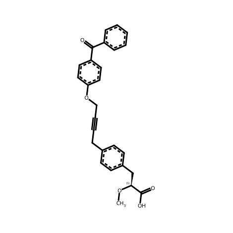 CO[C@@H](Cc1ccc(CC#CCOc2ccc(C(=O)c3ccccc3)cc2)cc1)C(=O)O